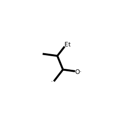 [CH2]C([O])C(C)CC